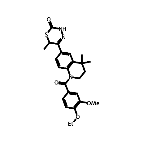 CCOc1ccc(C(=O)N2CCC(C)(C)c3cc(C4=NNC(=O)SC4C)ccc32)cc1OC